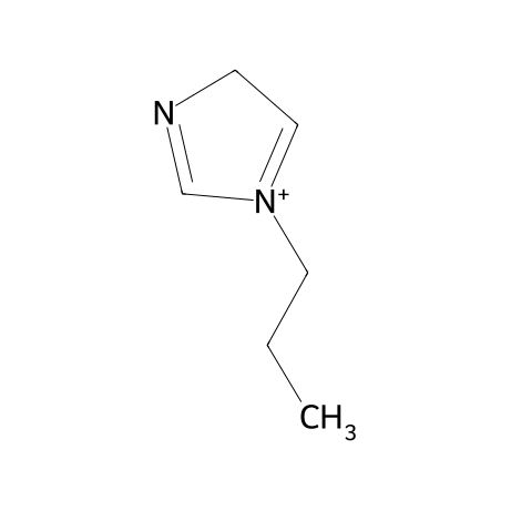 CCC[N+]1=CCN=C1